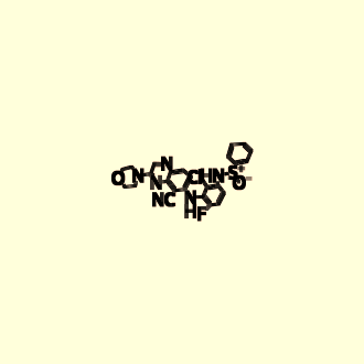 N#Cc1c(Nc2c(F)ccc(N[S+]([O-])c3ccccc3)c2Cl)ccc2ncc(N3CCOCC3)nc12